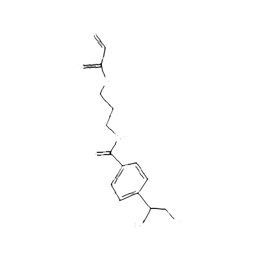 C=CC(=O)OCCCNC(=O)c1ccc(C(CC(C)(C)C)C(C)(C)C)cc1